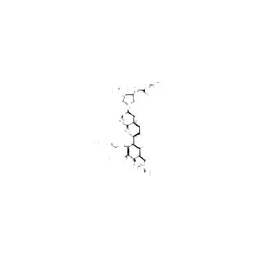 COCOc1c(-c2ccc3cc(N4C[C@H](C)[C@H](NC(=O)OC(C)(C)C)C4)cnc3n2)cc2cn(C)nc2c1C